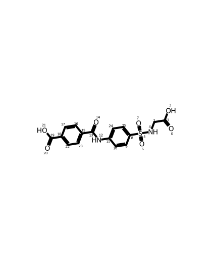 O=C(O)CNS(=O)(=O)c1ccc(NC(=O)c2ccc(C(=O)O)cc2)cc1